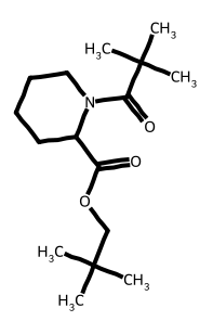 CC(C)(C)COC(=O)C1CCCCN1C(=O)C(C)(C)C